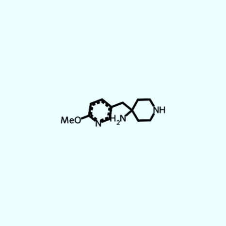 COc1ccc(CC2(N)CCNCC2)cn1